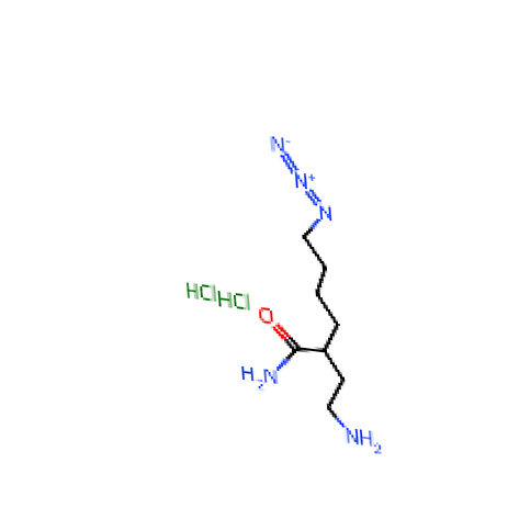 Cl.Cl.[N-]=[N+]=NCCCCC(CCN)C(N)=O